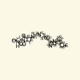 O=C1CCC(N2C(=O)c3ccc(N4CC(CN5CCC(N6CC=C(c7cnc8ccc(N9CCC[C@@H]9c9cccc(F)c9)nn78)C6)CC5)C4)cc3C2=O)C(=O)N1